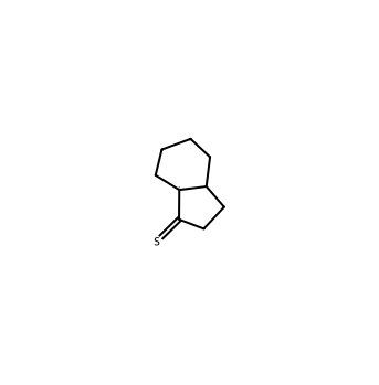 S=C1CCC2CCCC[C]12